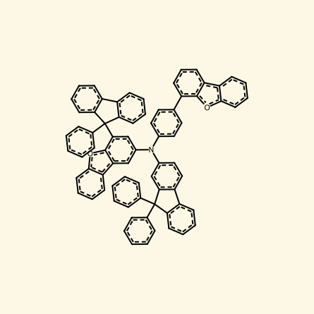 c1ccc(C2(c3ccccc3)c3ccccc3-c3ccc(N(c4ccc(-c5cccc6c5oc5ccccc56)cc4)c4cc(C5(c6ccccc6)c6ccccc6-c6ccccc65)c5oc6ccccc6c5c4)cc32)cc1